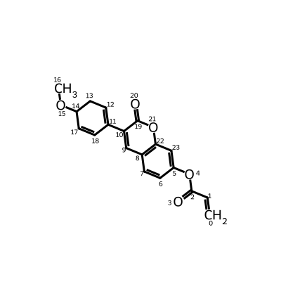 C=CC(=O)Oc1ccc2cc(C3=CCC(OC)C=C3)c(=O)oc2c1